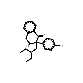 CCN(CC)CC1(c2ccc(Cl)cc2)C(=O)c2ccccc2OC1O